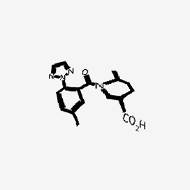 Cc1ccc(-n2nccn2)c(C(=O)N2CC(C(=O)O)CCC2C)c1